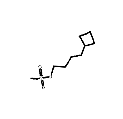 CS(=O)(=O)OCCCCC1CCC1